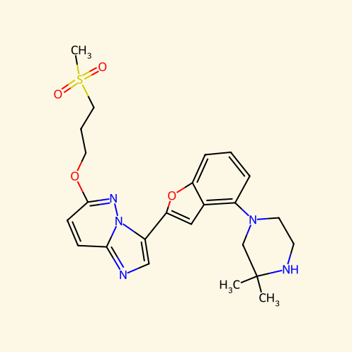 CC1(C)CN(c2cccc3oc(-c4cnc5ccc(OCCCS(C)(=O)=O)nn45)cc23)CCN1